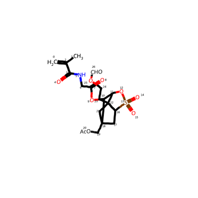 C=C(C)C(=O)NCC(=O)OC1C2OS(=O)(=O)C3CC1(COC(C)=O)CC23CCOC=O